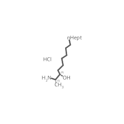 CCCCCCCCCCCCC[C@@H](O)[C@H](C)N.Cl